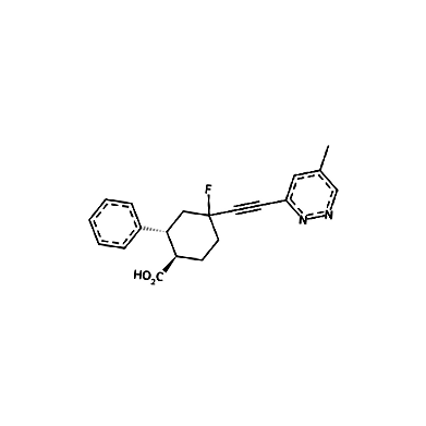 Cc1cnnc(C#CC2(F)CC[C@@H](C(=O)O)[C@H](c3ccccc3)C2)c1